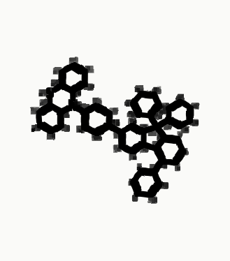 c1ccc(-c2cccc3c2-c2ccc(-c4ccc(N5c6ccccc6Sc6ccccc65)cc4)cc2C3(c2ccccc2)c2ccccc2)cc1